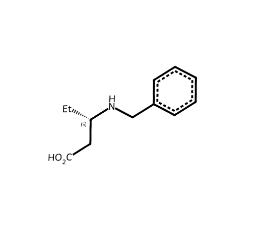 CC[C@@H](CC(=O)O)NCc1ccccc1